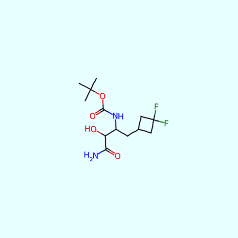 CC(C)(C)OC(=O)NC(CC1CC(F)(F)C1)C(O)C(N)=O